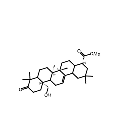 COC(=O)[C@@H]1CC(C)(C)CC2C3=CCC4[C@@]5(CO)CCC(=O)C(C)(C)C5CC[C@@]4(C)[C@]3(C)CCC21